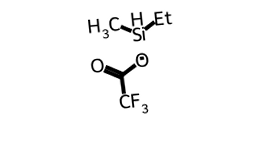 CC[SiH](C)OC(=O)C(F)(F)F